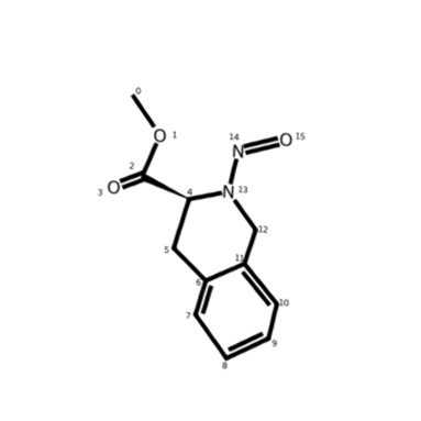 COC(=O)[C@@H]1Cc2ccccc2CN1N=O